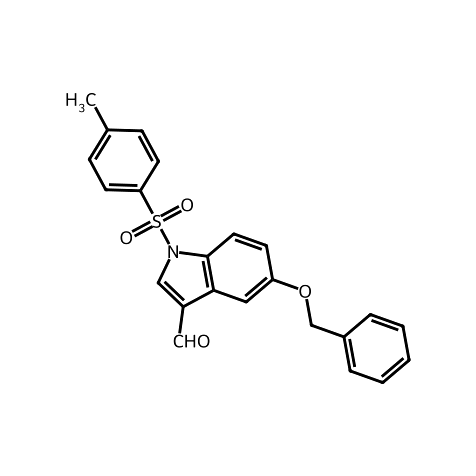 Cc1ccc(S(=O)(=O)n2cc(C=O)c3cc(OCc4ccccc4)ccc32)cc1